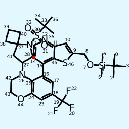 CC(C)(C)[Si](C)(C)OCc1cc2nccc(-c3cc(C(F)(F)F)cc4c3N(C3CN(S(=O)(=O)C(C)(C)C)C5(CCC5)C3)CCO4)c2s1